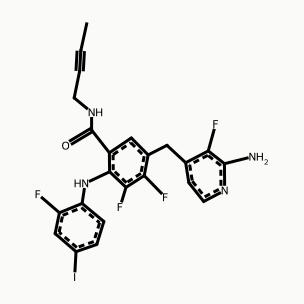 CC#CCNC(=O)c1cc(Cc2ccnc(N)c2F)c(F)c(F)c1Nc1ccc(I)cc1F